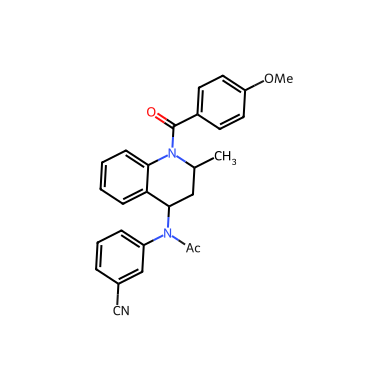 COc1ccc(C(=O)N2c3ccccc3C(N(C(C)=O)c3cccc(C#N)c3)CC2C)cc1